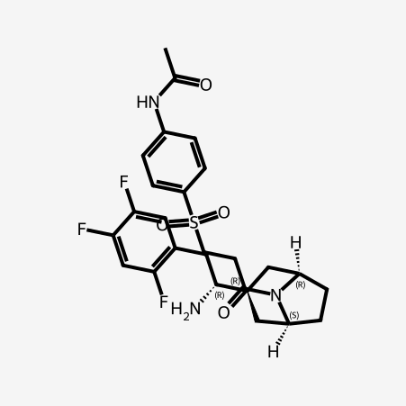 CC(=O)Nc1ccc(S(=O)(=O)CCC(=O)N2[C@@H]3CC[C@H]2C[C@@H]([C@H](N)Cc2cc(F)c(F)cc2F)C3)cc1